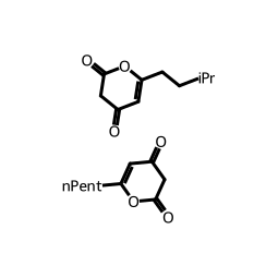 CC(C)CCC1=CC(=O)CC(=O)O1.CCCCCC1=CC(=O)CC(=O)O1